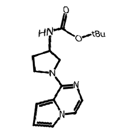 CC(C)(C)OC(=O)NC1CCN(c2nccn3cccc23)C1